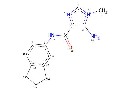 Cn1cnc(C(=O)Nc2ccc3c(c2)CCC3)c1N